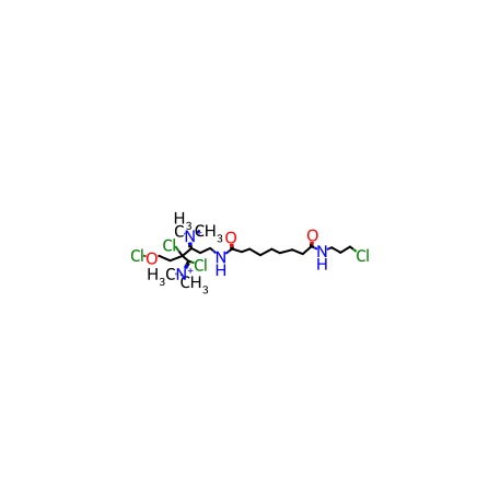 C[N+](C)=C(Cl)C(Cl)(CCOCl)C(CCNC(=O)CCCCCCCC(=O)NCCCCl)=[N+](C)C